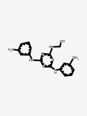 Nc1cccc(Nc2nc(NCO)nc(Nc3cccc(N)c3)n2)c1